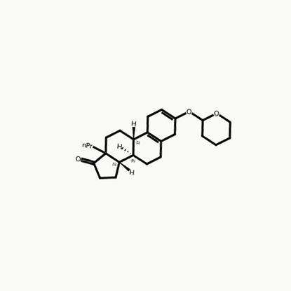 CCCC12CC[C@@H]3C4=C(CC[C@H]3[C@@H]1CCC2=O)CC(OC1CCCCO1)=CC4